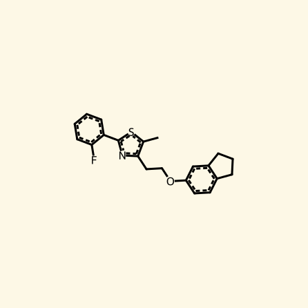 Cc1sc(-c2ccccc2F)nc1CCOc1ccc2c(c1)CCC2